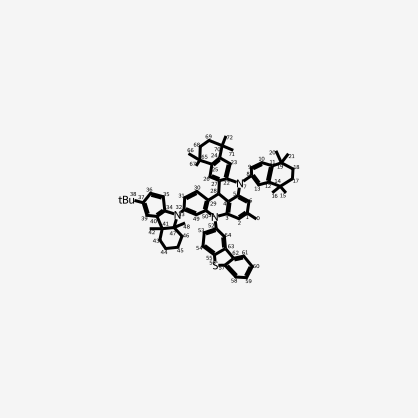 Cc1cc2c3c(c1)N(c1ccc4c(c1)C(C)(C)CCC4(C)C)c1cc4c(cc1C3c1ccc(N3c5ccc(C(C)(C)C)cc5C5(C)CCCCC35C)cc1N2c1ccc2sc3ccccc3c2c1)C(C)(C)CCC4(C)C